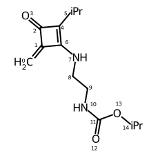 C=C1C(=O)C(C(C)C)=C1NCCNC(=O)OC(C)C